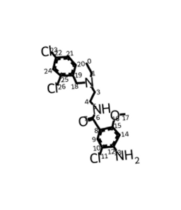 CCN(CCNC(=O)c1cc(Cl)c(N)cc1OC)Cc1ccc(Cl)cc1Cl